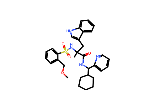 COCc1ccccc1S(=O)(=O)NC(C)(Cc1c[nH]c2ccccc12)C(=O)NC(c1ccccn1)C1CCCCC1